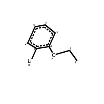 [Li][c]1ccccc1OCC